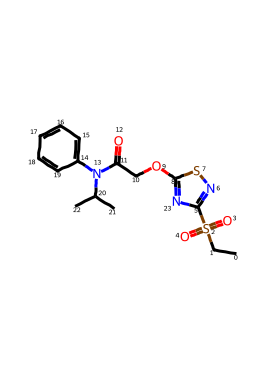 CCS(=O)(=O)c1nsc(OCC(=O)N(c2ccccc2)C(C)C)n1